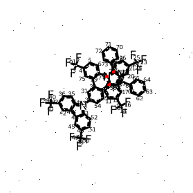 FC(F)(F)c1ccc(-n2c3ccc(C(F)(F)F)cc3c3cc(C(F)(F)F)ccc32)c(-c2cc(-n3c4ccc(C(F)(F)F)cc4c4cc(C(F)(F)F)ccc43)ccc2-c2nc(-c3ccccc3)nc(-c3ccccc3)n2)c1